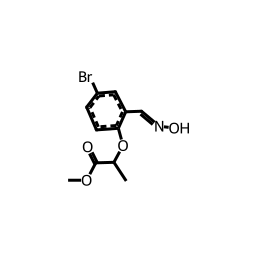 COC(=O)C(C)Oc1ccc(Br)cc1C=NO